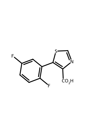 O=C(O)c1ncsc1-c1cc(F)ccc1F